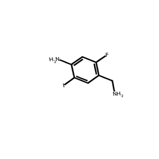 NCc1cc(I)c(N)cc1F